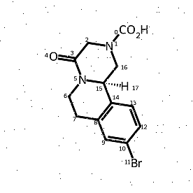 O=C(O)N1CC(=O)N2CCc3cc(Br)ccc3[C@@H]2C1